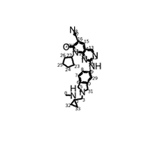 CNC1(CN2Cc3ccc(Nc4ncc5cc(C#N)c(=O)n(C6CCCC6)c5n4)cc3C2)CC1